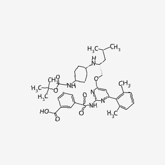 Cc1cccc(C)c1-c1cc(OC[C@@H](CC(C)C)NC2CCC(NC(=O)OC(C)(C)C)CC2)nc(NS(=O)(=O)c2cccc(C(=O)O)c2)n1